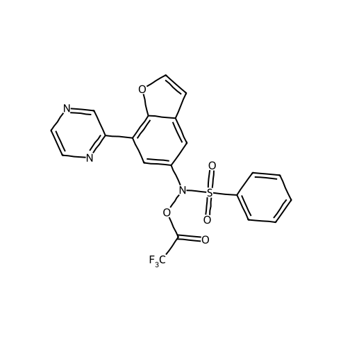 O=C(ON(c1cc(-c2cnccn2)c2occc2c1)S(=O)(=O)c1ccccc1)C(F)(F)F